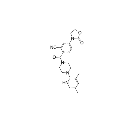 CC1=CNC(N2CCN(C(=O)c3ccc(N4CCOC4=O)cc3C#N)CC2)C(C)=C1